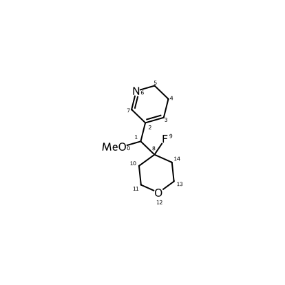 COC(C1=CCCN=C1)C1(F)CCOCC1